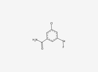 NC(=O)c1cc(Cl)cc([Se]F)c1